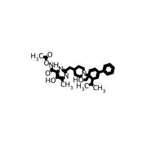 CC(=O)ONC(=O)c1nc(CC2CCN(C3(CO)C=CC(c4ccccc4)=CC3C(C)C)CC2)nc(C)c1O